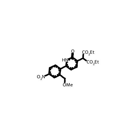 CCOC(=O)C(C(=O)OCC)c1ccc(-c2ccc([N+](=O)[O-])cc2COC)[nH]c1=O